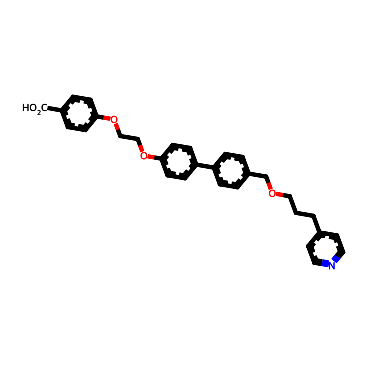 O=C(O)c1ccc(OCCOc2ccc(-c3ccc(COCCCc4ccncc4)cc3)cc2)cc1